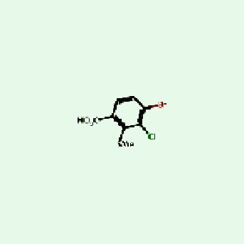 CSc1c(C(=O)O)ccc(Br)c1Cl